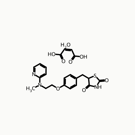 CN(CCOc1ccc(CC2SC(=O)NC2=O)cc1)c1ccccn1.O.O=C(O)/C=C\C(=O)O